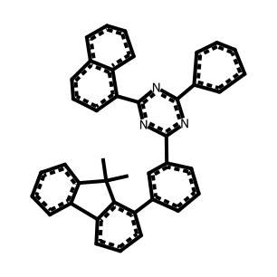 CC1(C)c2ccccc2-c2cccc(-c3cccc(-c4nc(-c5ccccc5)nc(-c5cccc6ccccc56)n4)c3)c21